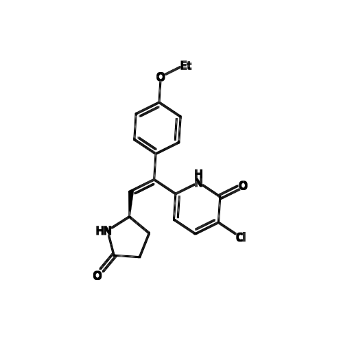 CCOc1ccc(C(=C[C@H]2CCC(=O)N2)c2ccc(Cl)c(=O)[nH]2)cc1